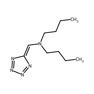 CCCCN(C=C1N=NN=N1)CCCC